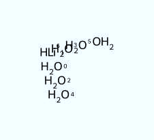 O.O.O.O.O.O.[LiH]